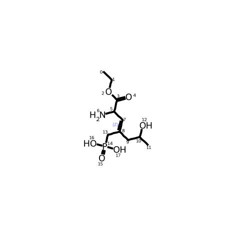 CCOC(=O)C(N)/C=C(/CC(C)O)CP(=O)(O)O